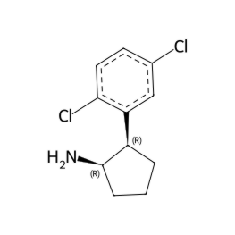 N[C@@H]1CCC[C@@H]1c1cc(Cl)ccc1Cl